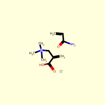 C=C(C[N+](C)(C)C)C(=O)O.C=CC(N)=O.[Cl-]